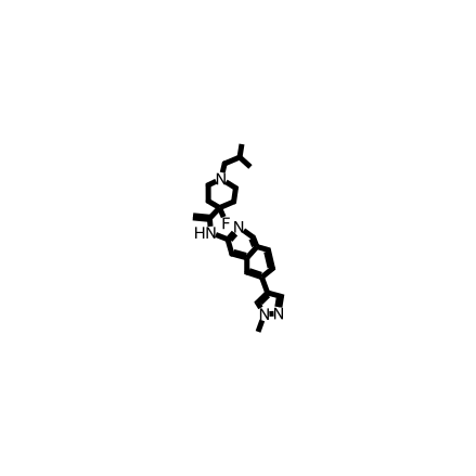 C=C(Nc1cc2cc(-c3cnn(C)c3)ccc2cn1)C1(F)CCN(CC(C)C)CC1